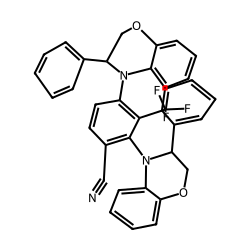 N#Cc1ccc(N2c3ccccc3OCC2c2ccccc2)c(C(F)(F)F)c1N1c2ccccc2OCC1c1ccccc1